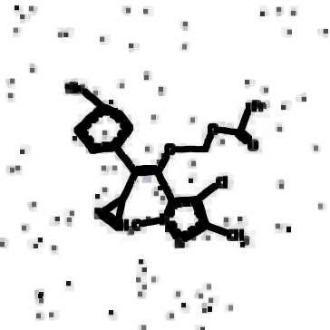 CCCC(=O)OCO/C(=C(\c1ccc(C(C)(C)C)cc1)C1C=N1)c1c(Cl)c(C)nn1C